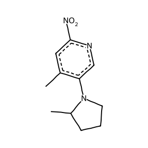 Cc1cc([N+](=O)[O-])ncc1N1CCCC1C